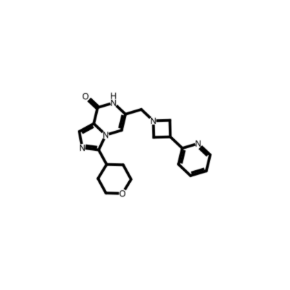 O=c1[nH]c(CN2CC(c3ccccn3)C2)cn2c(C3CCOCC3)ncc12